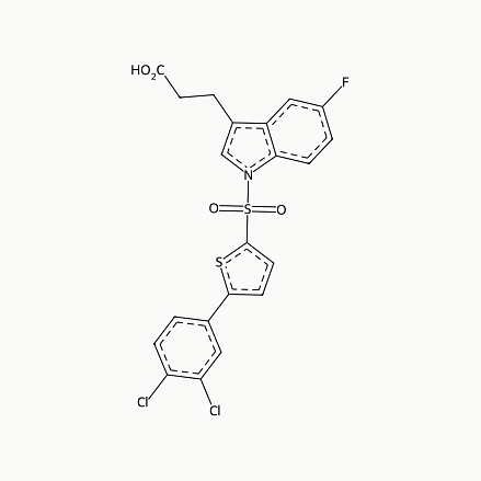 O=C(O)CCc1cn(S(=O)(=O)c2ccc(-c3ccc(Cl)c(Cl)c3)s2)c2ccc(F)cc12